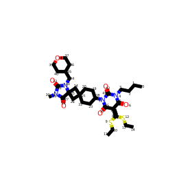 CCCCN1C(=O)C(=C(SCC)SCC)C(=O)N(C2CCC3(CC2)CC2(C3)C(=O)N(C)C(=O)N2CC2CCOCC2)C1=O